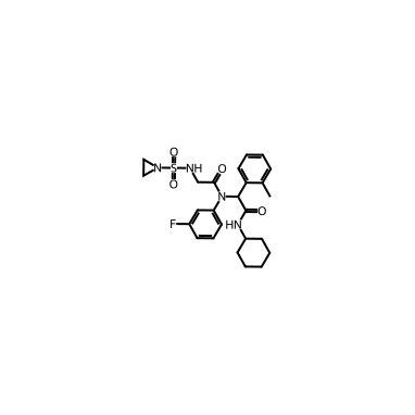 Cc1ccccc1C(C(=O)NC1CCCCC1)N(C(=O)CNS(=O)(=O)N1CC1)c1cccc(F)c1